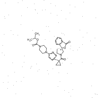 CC(C)OC(=O)N1CCN(c2ccc(C3(C(=O)N4CC[C@@]5(C4)OC(=O)c4ccccc45)CC3)cn2)CC1